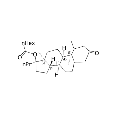 CCCCCCC(=O)OC1(CCC)CC[C@H]2[C@@H]3CCC4CC(=O)CC(C)[C@]4(C)[C@@H]3CC[C@@]21C